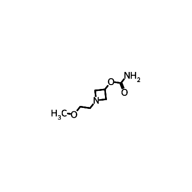 COCCN1CC(OC(N)=O)C1